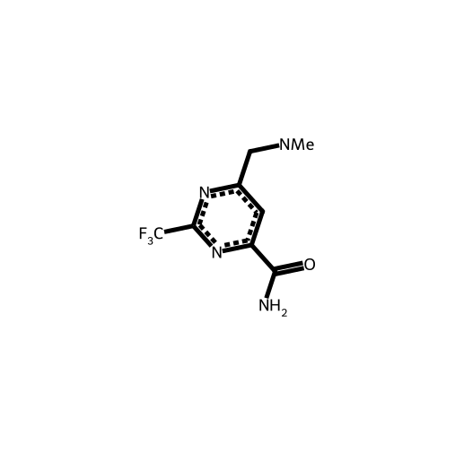 CNCc1cc(C(N)=O)nc(C(F)(F)F)n1